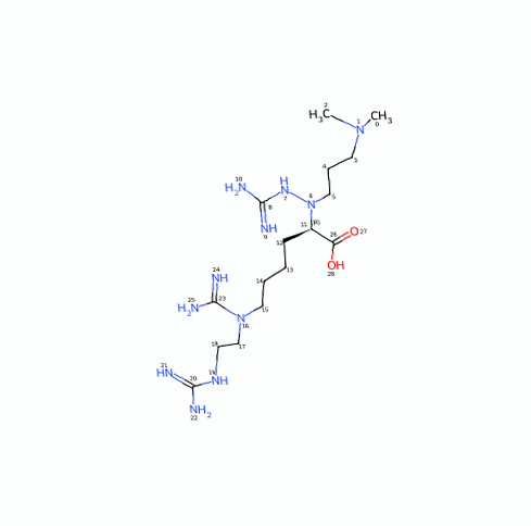 CN(C)CCCN(NC(=N)N)[C@H](CCCCN(CCNC(=N)N)C(=N)N)C(=O)O